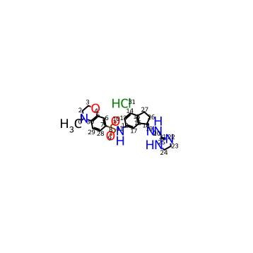 CN1CCOc2cc(S(=O)(=O)Nc3ccc4c(c3)C(=NNC3=NCCN3)CC4)ccc21.Cl